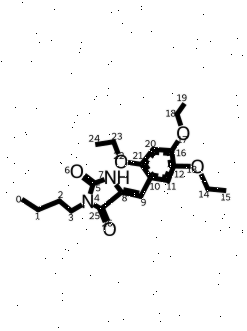 CCCCN1C(=O)NC(=Cc2cc(OCC)c(OCC)cc2OCC)C1=O